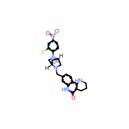 O=c1[nH]c2cc(CN3C[C@@H]4C[C@H]3CN4c3ccc([N+](=O)[O-])cc3F)ccc2c2c1CCCN2